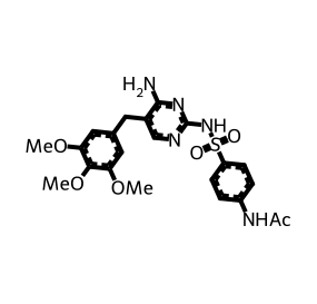 COc1cc(Cc2cnc(NS(=O)(=O)c3ccc(NC(C)=O)cc3)nc2N)cc(OC)c1OC